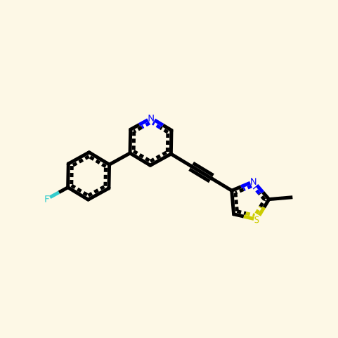 Cc1nc(C#Cc2cncc(-c3ccc(F)cc3)c2)cs1